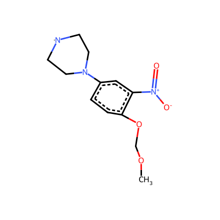 COCOc1ccc(N2CC[N]CC2)cc1[N+](=O)[O-]